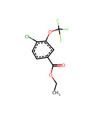 CCOC(=O)c1ccc(Cl)c(OC(F)(F)F)c1